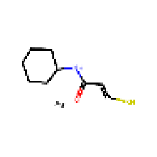 O=C(C=CS)NC1CCCCC1.[Ag]